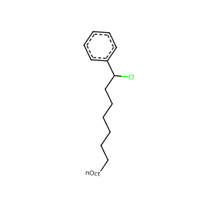 CCCCCCCCCCCCCCC(Cl)c1ccccc1